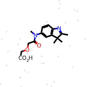 CC1=Nc2ccc(N(C)C(=O)COCC(=O)O)cc2C1(C)C